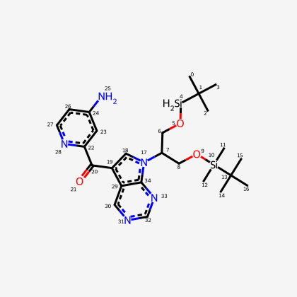 CC(C)(C)[SiH2]OCC(CO[Si](C)(C)C(C)(C)C)n1cc(C(=O)c2cc(N)ccn2)c2cncnc21